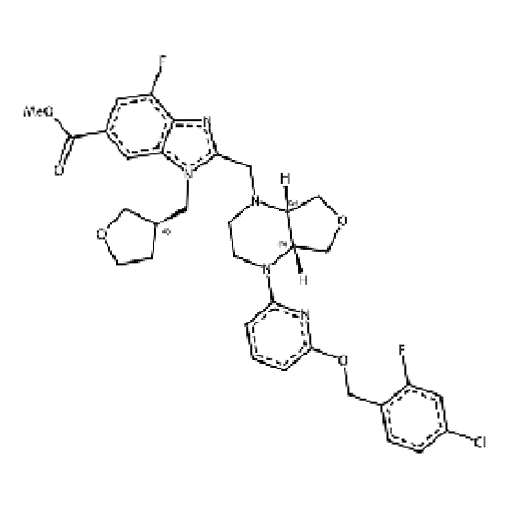 COC(=O)c1cc(F)c2nc(CN3CCN(c4cccc(OCc5ccc(Cl)cc5F)n4)[C@H]4COC[C@H]43)n(C[C@H]3CCOC3)c2c1